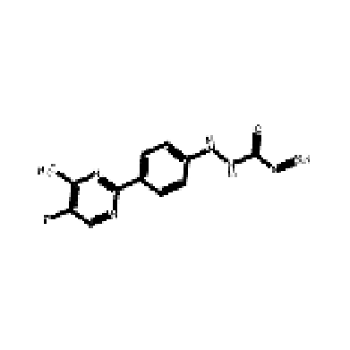 Cc1nc(-c2ccc(NNC(=O)N=N)cc2)ncc1F